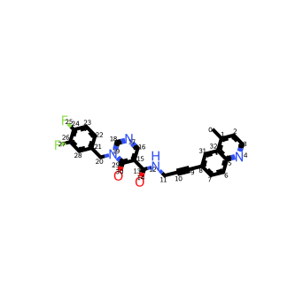 Cc1ccnc2ccc(C#CCNC(=O)c3cncn(Cc4ccc(F)c(F)c4)c3=O)cc12